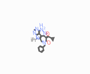 CC(C)n1c2c(c3c(N)ncnc31)-c1noc(C3CC3)c1C(=O)N(Cc1ccccc1)C2